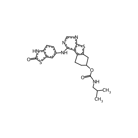 CC(C)CNC(=O)OC1CCc2c(sc3ncnc(Nc4ccc5[nH]c(=O)sc5c4)c23)C1